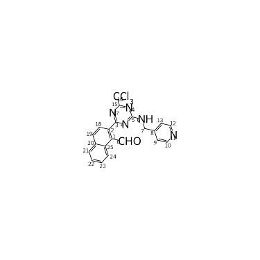 O=Cc1c(-c2nc(NCc3ccncc3)nc(C(Cl)(Cl)Cl)n2)ccc2ccccc12